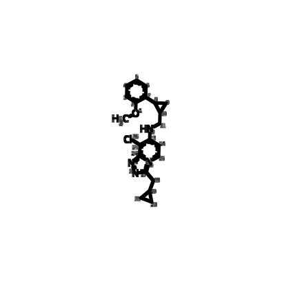 COc1ccccc1C1CC1CNc1ccn2c(CC3CC3)nnc2c1Cl